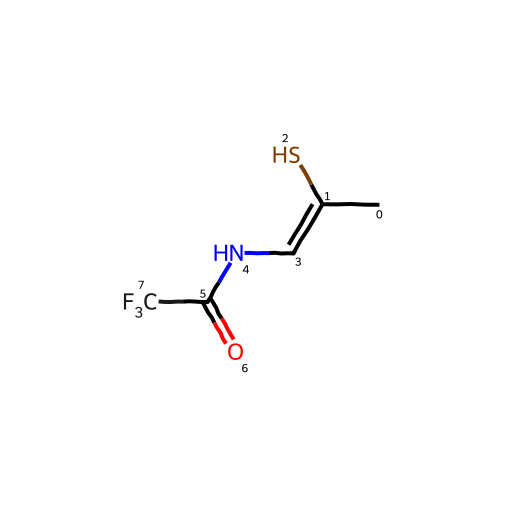 C/C(S)=C/NC(=O)C(F)(F)F